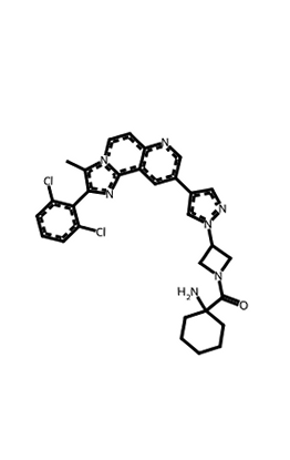 Cc1c(-c2c(Cl)cccc2Cl)nc2c3cc(-c4cnn(C5CN(C(=O)C6(N)CCCCC6)C5)c4)cnc3ccn12